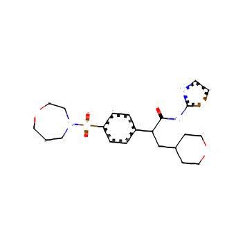 O=C(Nc1nccs1)C(CC1CCOCC1)c1ccc(S(=O)(=O)N2CCCOCC2)cc1